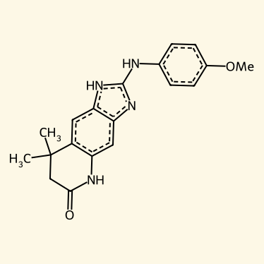 COc1ccc(Nc2nc3cc4c(cc3[nH]2)C(C)(C)CC(=O)N4)cc1